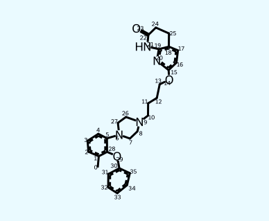 Cc1cccc(N2CCN(CCCCOc3ccc4c(n3)NC(=O)CC4)CC2)c1Oc1ccccc1